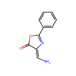 N/C=C1\N=C(c2ccccc2)OC1=O